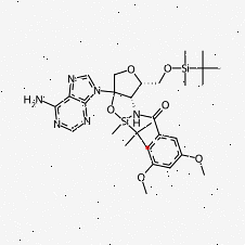 COc1cc(OC)cc(C(=O)N[C@H]2[C@@H](CO[Si](C)(C)C(C)(C)C)OCC2(O[Si](C)(C)C(C)(C)C)n2cnc3c(N)ncnc32)c1